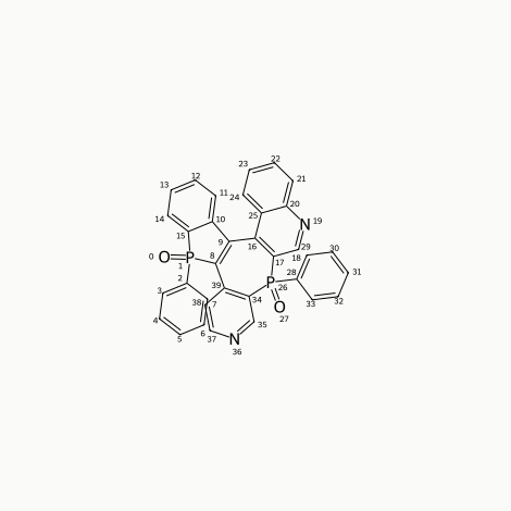 O=P1(c2ccccc2)C2=C(c3ccccc31)c1c(cnc3ccccc13)P(=O)(c1ccccc1)c1cnccc12